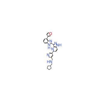 c1cc(-c2ccoc2)c2nc(-c3n[nH]c4ccc(-c5cncc(CNCC6CCCC6)c5)nc34)[nH]c2c1